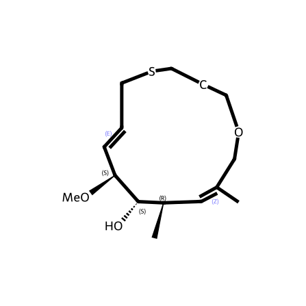 CO[C@H]1/C=C/CSCCCOC/C(C)=C\[C@@H](C)[C@@H]1O